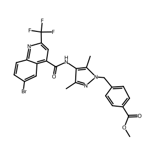 COC(=O)c1ccc(Cn2nc(C)c(NC(=O)c3cc(C(F)(F)F)nc4ccc(Br)cc34)c2C)cc1